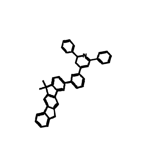 CC1(C)c2ccc(-c3cccc(C4=CC(c5ccccc5)=NC(c5ccccc5)C4)c3)cc2-c2cc3c(cc21)-c1ccccc1C3